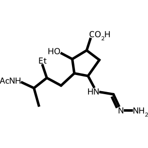 CCC(CC1C(NC=NN)CC(C(=O)O)C1O)C(C)NC(C)=O